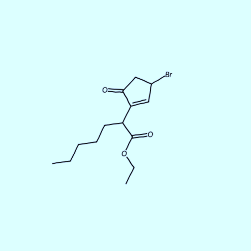 CCCCCC(C(=O)OCC)C1=CC(Br)CC1=O